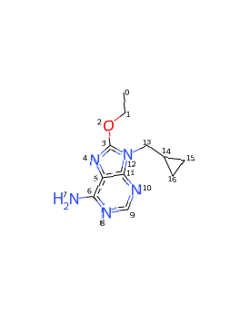 CCOc1nc2c(N)ncnc2n1CC1CC1